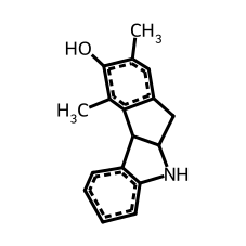 Cc1cc2c(c(C)c1O)C1c3ccccc3NC1C2